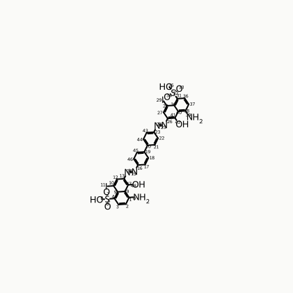 Nc1ccc(S(=O)(=O)O)c2c(I)cc(N=Nc3ccc(-c4ccc(N=Nc5cc(I)c6c(S(=O)(=O)O)ccc(N)c6c5O)cc4)cc3)c(O)c12